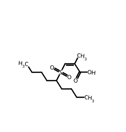 CCCCC(CCCC)S(=O)(=O)C=C(C)C(=O)O